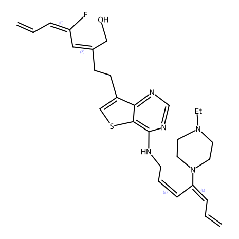 C=C/C=C(F)\C=C(/CO)CCc1csc2c(NC/C=C\C(=C/C=C)N3CCN(CC)CC3)ncnc12